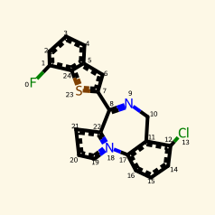 Fc1cccc2cc(C3=NCc4c(Cl)cccc4-n4cccc43)sc12